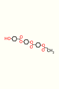 C=CC(=O)Oc1ccc(C(=O)Oc2ccc(OC(=O)c3ccc(O)cc3)cc2)cc1